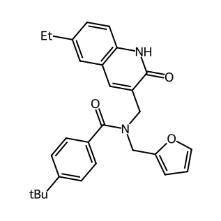 CCc1ccc2[nH]c(=O)c(CN(Cc3ccco3)C(=O)c3ccc(C(C)(C)C)cc3)cc2c1